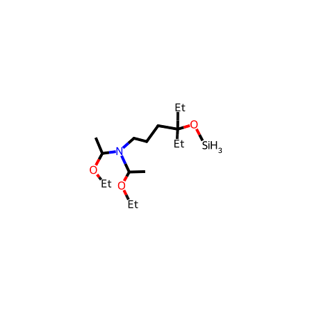 CCOC(C)N(CCCC(CC)(CC)O[SiH3])C(C)OCC